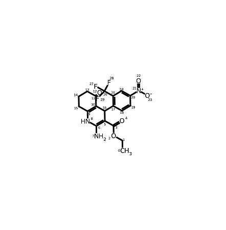 CCOC(=O)C1=C(N)NC2=C(C(=O)CCC2)C1c1ccc([N+](=O)[O-])cc1C(F)(F)F